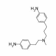 CN(CCCc1ccc(N)cc1)CCc1ccc(N)cc1